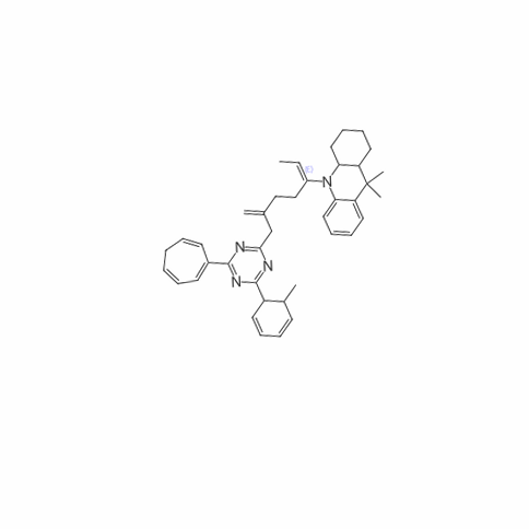 C=C(CC/C(=C\C)N1c2ccccc2C(C)(C)C2CCCCC21)Cc1nc(C2=CC=CCC=C2)nc(C2C=CC=CC2C)n1